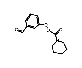 O=Cc1cccc(OOC(=O)N2CCCCC2)c1